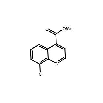 COC(=O)c1ccnc2c(Cl)cccc12